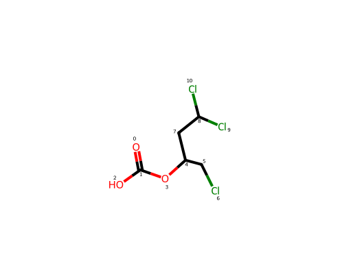 O=C(O)OC(CCl)CC(Cl)Cl